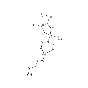 CCCCCN1CCN(C(C)(CCC)CCCC)CC1